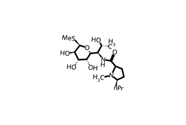 CCC[C@@H]1CCC(C(=O)N[C@@H]([C@H]2O[C@H](SC)[C@H](O)[C@@H](O)[C@H]2O)[C@@H](C)O)N1C